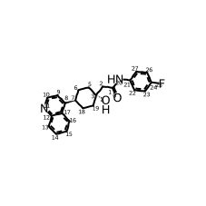 O=C(C[C@]1(O)CC[C@H](c2ccnc3ccccc32)CC1)Nc1ccc(F)cc1